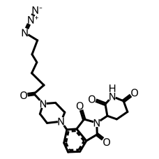 [N-]=[N+]=NCCCCCC(=O)N1CCN(c2cccc3c2C(=O)N(C2CCC(=O)NC2=O)C3=O)CC1